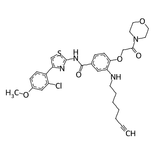 C#CCCCCCNc1cc(C(=O)Nc2nc(-c3ccc(OC)cc3Cl)cs2)ccc1OCC(=O)N1CCOCC1